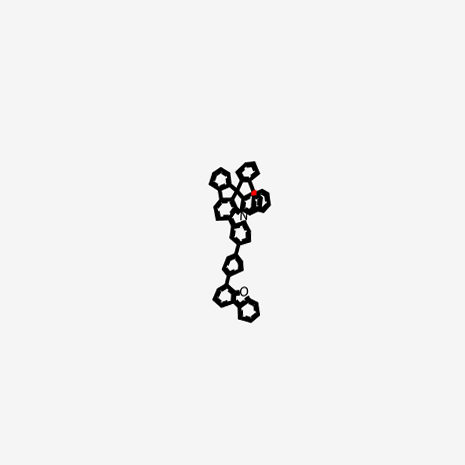 c1ccc(-n2c3ccc(-c4ccc(-c5cccc6c5oc5ccccc56)cc4)cc3c3ccc4c(c32)C2(c3ccccc3-c3ccccc32)c2ccccc2-4)cc1